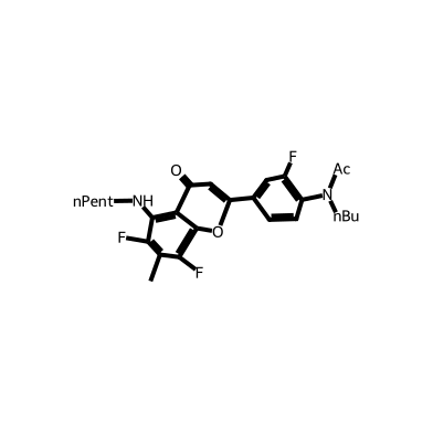 CCCCCNc1c(F)c(C)c(F)c2oc(-c3ccc(N(CCCC)C(C)=O)c(F)c3)cc(=O)c12